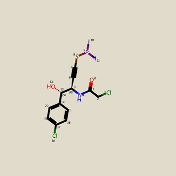 O=C(CCl)N[C@H](C#CSP(I)I)[C@@H](O)c1ccc(Cl)cc1